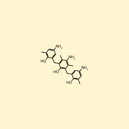 Cc1cc(N)cc(Cc2c(C)c(N)c(C)c(Cc3cc(N)cc(C)c3O)c2O)c1O